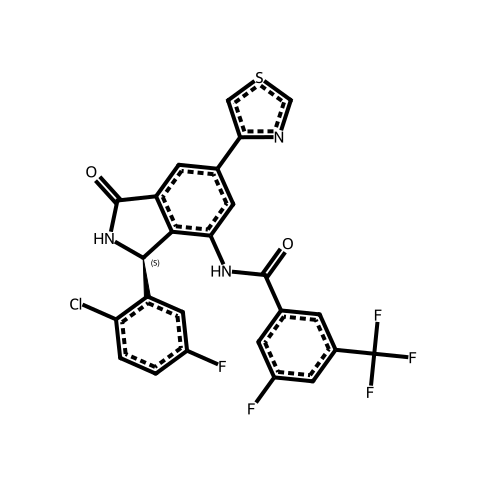 O=C(Nc1cc(-c2cscn2)cc2c1[C@@H](c1cc(F)ccc1Cl)NC2=O)c1cc(F)cc(C(F)(F)F)c1